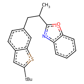 CC(Cc1ccc2cc(C(C)(C)C)sc2c1)c1nc2ccccc2o1